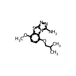 COc1ccc(OCC(C)C)c2c1sc1nnc(N)n12